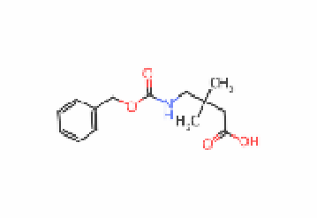 CC(C)(CNC(=O)OCc1ccccc1)CC(=O)O